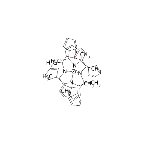 CC(C1C=CC=C1)[N](C(C)C1C=CC=C1)[Zr]([N](C(C)C1C=CC=C1)C(C)C1C=CC=C1)([N](C(C)C1C=CC=C1)C(C)C1C=CC=C1)[N](C(C)C1C=CC=C1)C(C)C1C=CC=C1